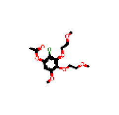 COCCOc1c(OC)cc(OC(C)=O)c(Cl)c1OCCOC